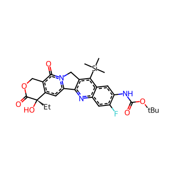 CC[C@@]1(O)C(=O)OCc2c1cc1n(c2=O)Cc2c-1nc1cc(F)c(NC(=O)OC(C)(C)C)cc1c2[Si](C)(C)C